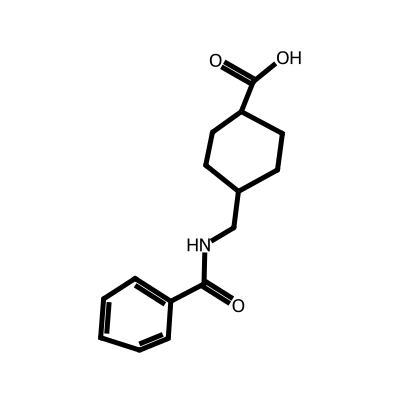 O=C(NCC1CCC(C(=O)O)CC1)c1ccccc1